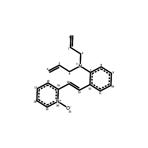 C=CCN(CC=C)c1ccccc1/C=C/c1cccc[n+]1[O-]